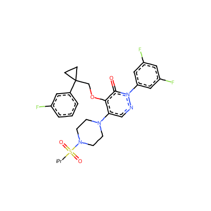 CC(C)S(=O)(=O)N1CCN(c2cnn(-c3cc(F)cc(F)c3)c(=O)c2OCC2(c3cccc(F)c3)CC2)CC1